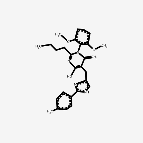 C=C1C(Cc2c[nH]c(-c3ccc(C)cc3)n2)=C(O)N=C(CCCC)N1c1c(OC)cccc1OC